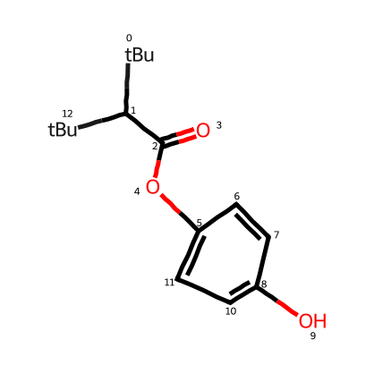 CC(C)(C)C(C(=O)Oc1ccc(O)cc1)C(C)(C)C